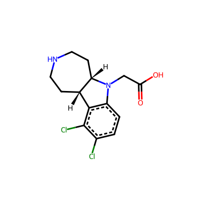 O=C(O)CN1c2ccc(Cl)c(Cl)c2[C@@H]2CCNCC[C@@H]21